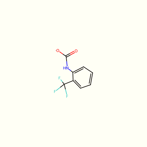 [O]C(=O)Nc1ccccc1C(F)(F)F